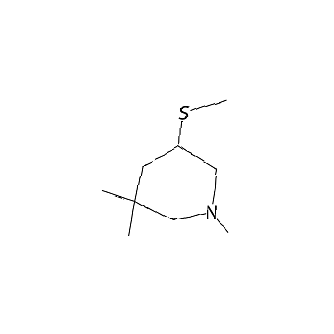 CSC1CN(C)CC(C)(C)C1